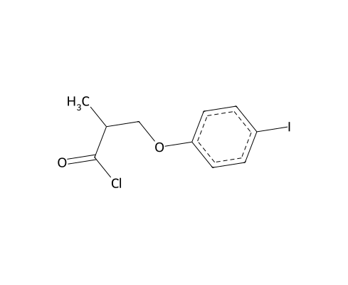 CC(COc1ccc(I)cc1)C(=O)Cl